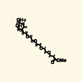 COC(=O)CCOCCOCCOCCOC/C=C(/CO)C[C@@H](C)CO